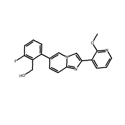 COc1ncccc1-c1cn2cc(-c3cccc(F)c3CO)ccc2n1